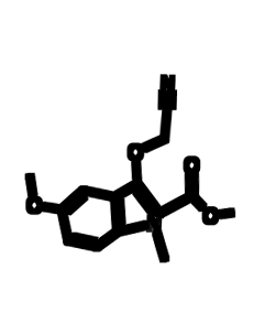 COC(=O)c1c(OCC#N)c2cc(OC)ccc2n1C